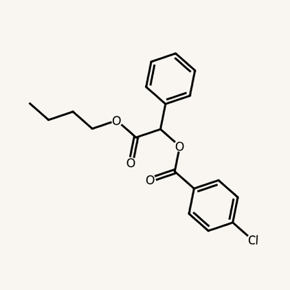 CCCCOC(=O)C(OC(=O)c1ccc(Cl)cc1)c1ccccc1